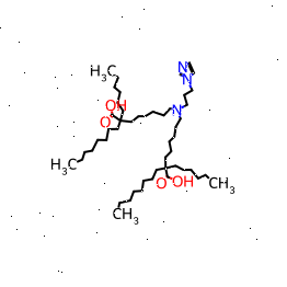 CCCCCCCCC(CCCCCC)(CCCCCCN(CCCCCCC(CCCCCC)(CCCCCCCC)C(=O)O)CCCn1ccnc1)C(=O)O